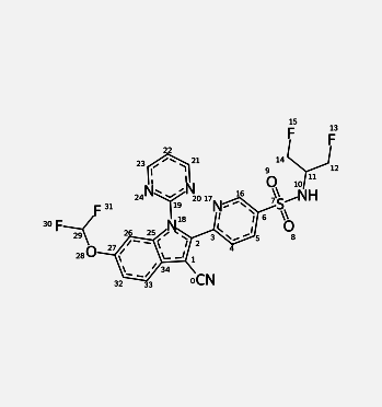 N#Cc1c(-c2ccc(S(=O)(=O)NC(CF)CF)cn2)n(-c2ncccn2)c2cc(OC(F)F)ccc12